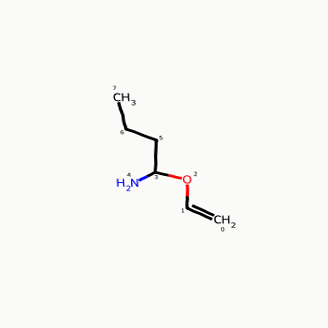 C=COC(N)CCC